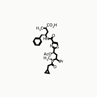 CC(=O)O[C@H](CC(C(C)C)N(C)C(=O)CC1CC1)c1nc(C(=O)N[C@@H](Cc2ccccc2)C[C@H](C)C(=O)O)cs1